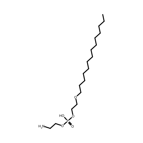 CCCCCCCCCCCCCCOCCOP(=O)(O)OCCN